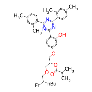 C=C(C)C(=O)OC(COCC(CC)CCCC)COc1ccc(-c2nc(-c3ccc(C)cc3C)nc(-c3ccc(C)cc3C)n2)c(O)c1